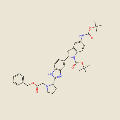 CC(C)(C)OC(=O)Nc1ccc2c(c1)cc(-c1ccc3[nH]c([C@@H]4CCCN4CC(=O)OCc4ccccc4)nc3c1)n2C(=O)OC(C)(C)C